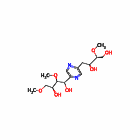 COC[C@H](O)[C@@H](OC)C(O)c1cnc(C[C@H](O)[C@H](CO)OC)cn1